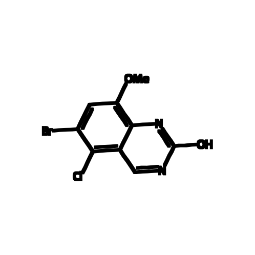 COc1cc(Br)c(Cl)c2cnc(O)nc12